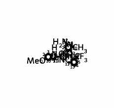 COc1ccc2[nH]c(C(=O)N[C@@H](Cc3cccc(C(F)(F)F)c3)C(=O)NCc3ccc(N)nc3C)cc2c1